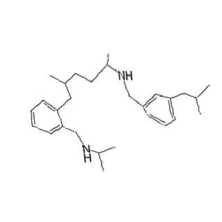 CC(C)Cc1cccc(CNC(C)CCC(C)Cc2ccccc2CNC(C)C)c1